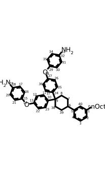 CCCCCCCCc1cccc(C2CCC(c3ccc(Oc4ccc(N)cc4)cc3)(c3ccc(Oc4ccc(N)cc4)cc3)CC2)c1